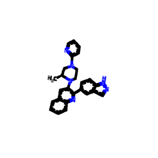 C[C@H]1CN(c2ccccn2)CCN1c1cc2ccccc2nc1-c1ccc2[nH]ncc2c1